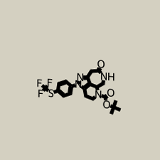 CC(C)(C)OC(=O)N1CCc2c3c(nn2-c2ccc(SC(F)(F)F)cc2)CC(=O)NCC31